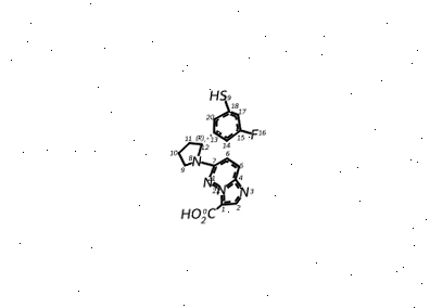 O=C(O)c1cnc2ccc(N3CCC[C@@H]3c3cc(F)cc(S)c3)nn12